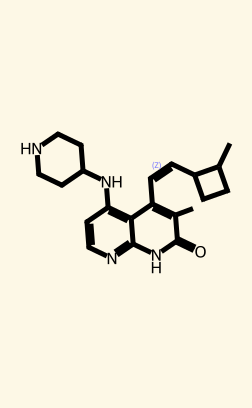 Cc1c(/C=C\C2CCC2C)c2c(NC3CCNCC3)ccnc2[nH]c1=O